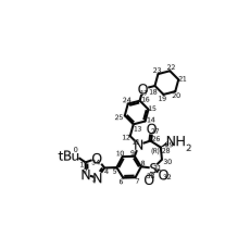 CC(C)(C)c1nnc(-c2ccc3c(c2)N(Cc2ccc(OC4CCCCC4)cc2)C(=O)[C@@H](N)CS3(=O)=O)o1